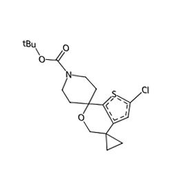 CC(C)(C)OC(=O)N1CCC2(CC1)OCC1(CC1)c1cc(Cl)sc12